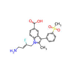 Cc1c(-c2cccc(S(C)(=O)=O)c2)c2cc(C(=O)O)ccc2n1C/C(F)=C/CN